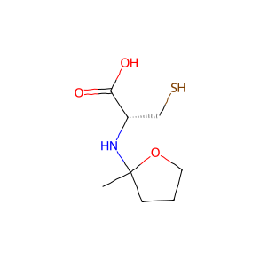 CC1(N[C@@H](CS)C(=O)O)CCCO1